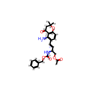 CC(=O)OCC(/C=C/c1ccc2c(c1N)C(=O)CC(C)(C)O2)NC(=O)OCc1ccccc1